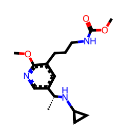 COC(=O)NCCCc1cc([C@@H](C)NC2CC2)cnc1OC